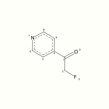 O=C(CF)c1ccncc1